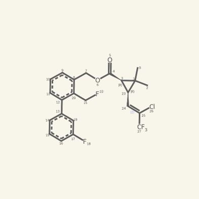 CC1(C)[C@H](C(=O)OCc2cccc(-c3cccc(F)c3)c2CF)[C@@H]1/C=C(\Cl)C(F)(F)F